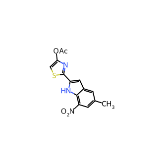 CC(=O)Oc1csc(-c2cc3cc(C)cc([N+](=O)[O-])c3[nH]2)n1